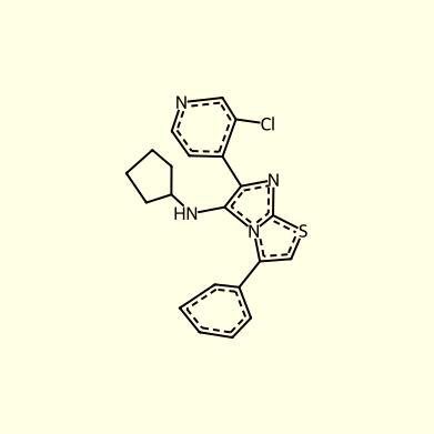 Clc1cnccc1-c1nc2scc(-c3ccccc3)n2c1NC1CCCC1